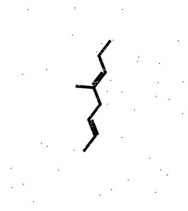 [CH2]C/C=C(\C)C/C=C/C